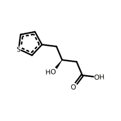 O=C(O)C[C@@H](O)Cc1ccsc1